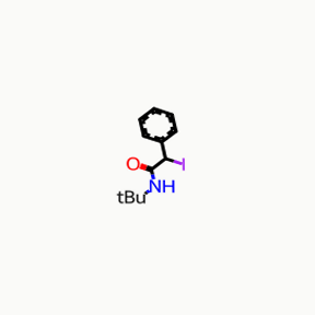 CC(C)(C)NC(=O)C(I)c1ccccc1